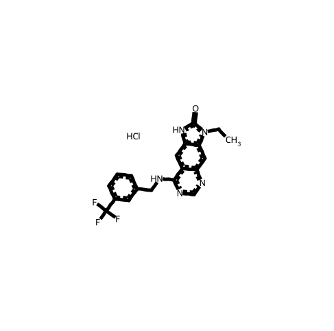 CCn1c(=O)[nH]c2cc3c(NCc4cccc(C(F)(F)F)c4)ncnc3cc21.Cl